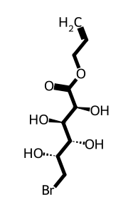 C=CCOC(=O)[C@@H](O)[C@H](O)[C@H](O)[C@@H](O)CBr